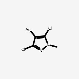 CC(=O)c1c(Cl)nn(C)c1Cl